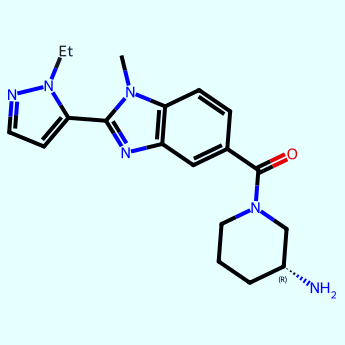 CCn1nccc1-c1nc2cc(C(=O)N3CCC[C@@H](N)C3)ccc2n1C